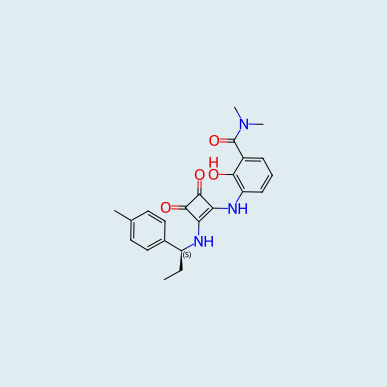 CC[C@H](Nc1c(Nc2cccc(C(=O)N(C)C)c2O)c(=O)c1=O)c1ccc(C)cc1